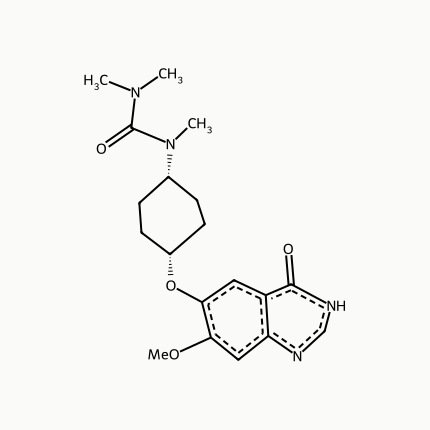 COc1cc2nc[nH]c(=O)c2cc1O[C@H]1CC[C@@H](N(C)C(=O)N(C)C)CC1